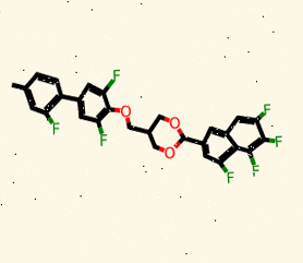 Cc1ccc(-c2cc(F)c(OCC3COC(c4cc(F)c5c(F)c(F)c(F)cc5c4)OC3)c(F)c2)c(F)c1